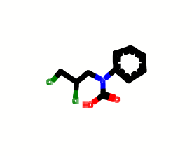 O=C(O)N(CC(Cl)CCl)c1ccccc1